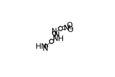 COC(=O)N1Cc2ccc(-c3nccc(Nc4ccc(-c5cn[nH]c5)cc4)n3)cc2C1